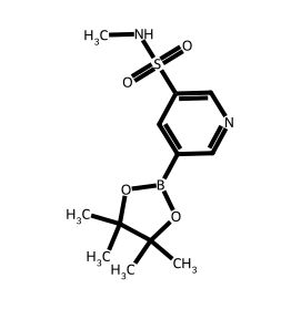 CNS(=O)(=O)c1cncc(B2OC(C)(C)C(C)(C)O2)c1